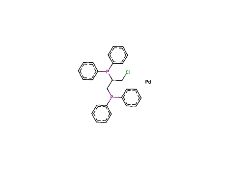 ClCC(CP(c1ccccc1)c1ccccc1)P(c1ccccc1)c1ccccc1.[Pd]